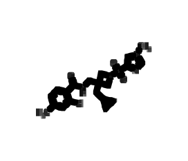 Cc1ccc(C(=O)NCC2(CC3CC3)CN(S(=O)(=O)c3cn(C)cn3)C2)c(Cl)c1